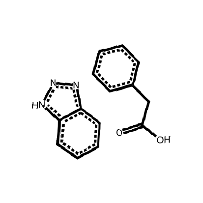 O=C(O)Cc1ccccc1.c1ccc2[nH]nnc2c1